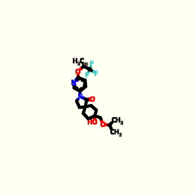 CC(C)OCC1(O)CCC2(CCN(c3ccc(O[C@H](C)C(F)(F)F)nc3)C2=O)CC1